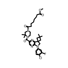 COC(=O)CCCCCCC(=O)N1CCN(C(=O)c2cnc3c(n2)C2(CN3c3ccc(Cl)c(F)c3)CC(C)(C)C2)C(C)(C)C1